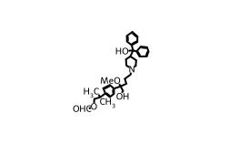 COC(CO)(CCCN1CCC(C(O)(c2ccccc2)c2ccccc2)CC1)c1ccc(C(C)(C)COC=O)cc1